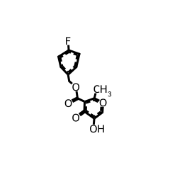 Cc1occ(O)c(=O)c1C(=O)OCc1ccc(F)cc1